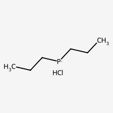 CCC[P]CCC.Cl